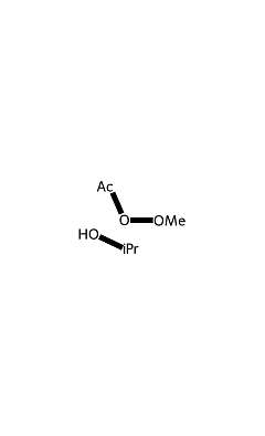 CC(C)O.COOC(C)=O